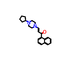 O=C(C=CN1CCN(C2CCCC2)CC1)c1cccc2ccccc12